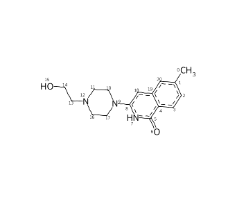 Cc1ccc2c(=O)[nH]c(N3CCN(CCO)CC3)cc2c1